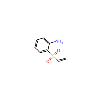 C=CS(=O)(=O)c1ccccc1N